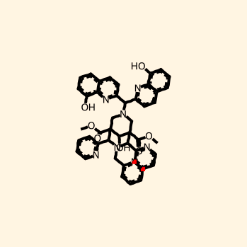 COC(=O)C12CN(C(c3ccc4cccc(O)c4n3)c3ccc4cccc(O)c4n3)CC(C(=O)OC)(C(c3ccccn3)N(Cc3ccccn3)C1c1ccccn1)C2O